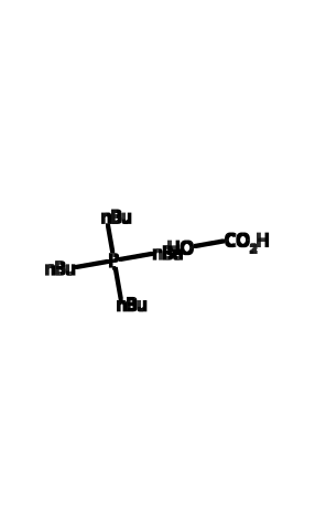 CCCC[P](CCCC)(CCCC)CCCC.O=C(O)O